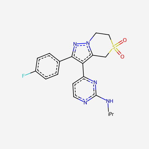 CC(C)Nc1nccc(-c2c(-c3ccc(F)cc3)nn3c2CS(=O)(=O)CC3)n1